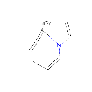 C=CN(/C=C\C)C(=C)CCC